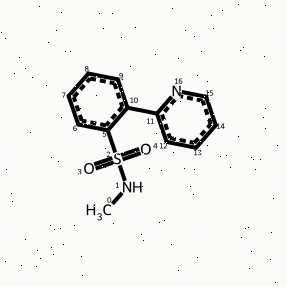 CNS(=O)(=O)c1ccc[c]c1-c1ccccn1